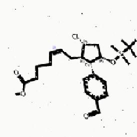 COC(=O)CCC/C=C\C[C@@H]1[C@@H](c2ccc(C=O)cc2)[C@H](O[Si](C)(C)C(C)(C)C)C[C@H]1Cl